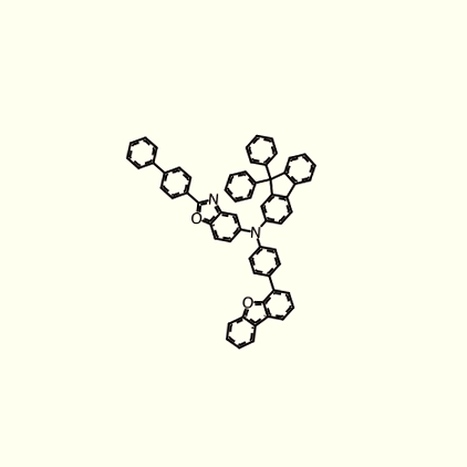 c1ccc(-c2ccc(-c3nc4cc(N(c5ccc(-c6cccc7c6oc6ccccc67)cc5)c5ccc6c(c5)C(c5ccccc5)(c5ccccc5)c5ccccc5-6)ccc4o3)cc2)cc1